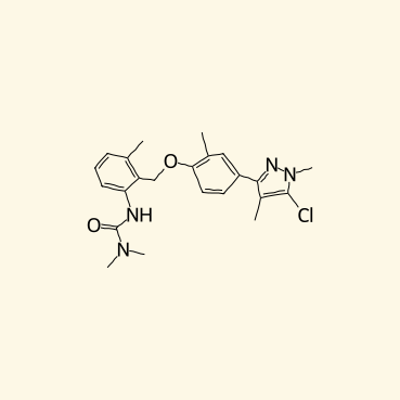 Cc1cc(-c2nn(C)c(Cl)c2C)ccc1OCc1c(C)cccc1NC(=O)N(C)C